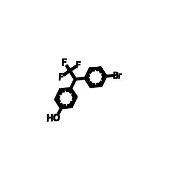 Oc1ccc(C(c2ccc(Br)cc2)C(F)(F)F)cc1